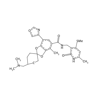 CSc1cc(C)[nH]c(=O)c1CNC(=O)c1cc(-c2cocn2)c2c(c1C)OC1(CCC(CN(C)C)CC1)O2